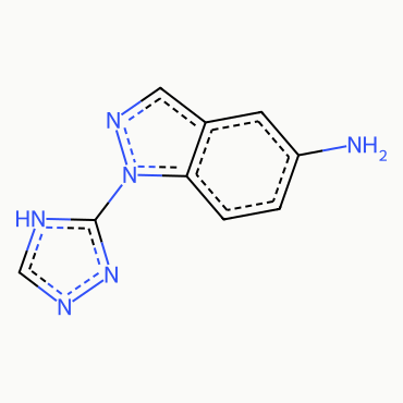 Nc1ccc2c(cnn2-c2nnc[nH]2)c1